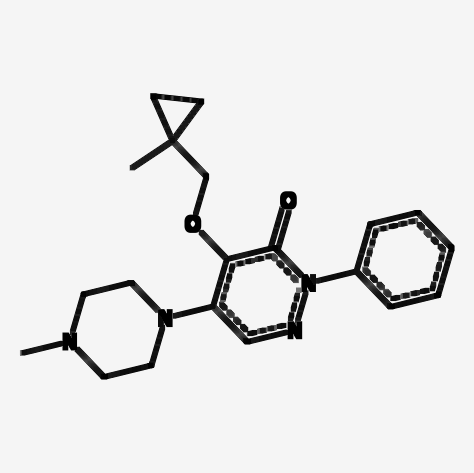 CN1CCN(c2cnn(-c3ccccc3)c(=O)c2OCC2(C)CC2)CC1